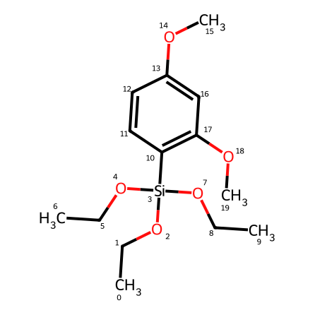 CCO[Si](OCC)(OCC)c1ccc(OC)cc1OC